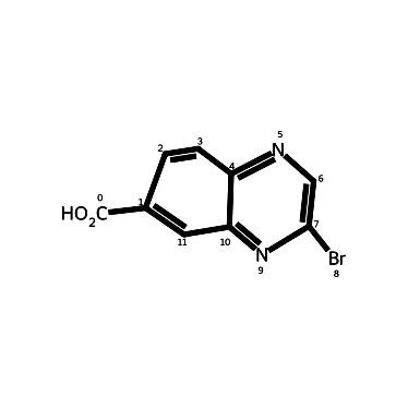 O=C(O)c1ccc2ncc(Br)nc2c1